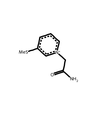 [CH2]Sc1ccc[n+](CC(N)=O)c1